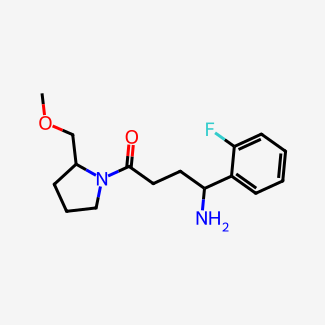 COCC1CCCN1C(=O)CCC(N)c1ccccc1F